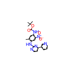 Cc1cc(NC(=O)OC(C)(C)C)c([N+](=O)[O-])cc1Nc1nccc(-c2cccnc2)n1